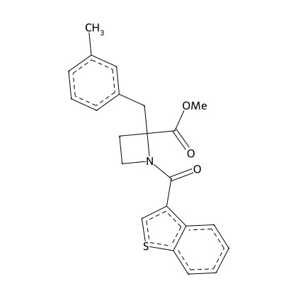 COC(=O)C1(Cc2cccc(C)c2)CCN1C(=O)c1csc2ccccc12